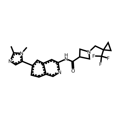 Cc1ncc(-c2ccc3cnc(NC(=O)C4CN(CC5(C(F)(F)F)CC5)C4)cc3c2)n1C